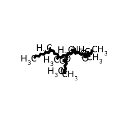 CCCCCCCC(C)CCCC(C)CCC(/C=C/C(C)(N)/C=C/COC(=O)C(C)(C)CCC)OC(=O)CCCN(C)C